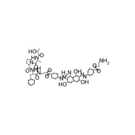 CC(O)C(=O)NC(C)C(=O)N1CCCC1C(=O)NC(Cc1ccccc1)C(=O)NCCS(=O)(=O)c1ccc(/N=N/c2c(O)cc3cc(O)c(/N=N/c4ccc(S(=O)(=O)CCN)cc4)c(O)c3c2N)cc1